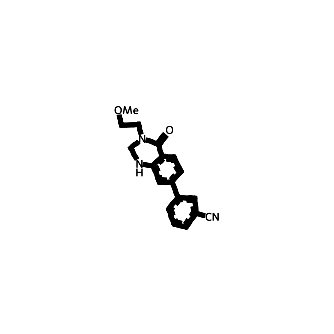 COCCN1CNc2cc(-c3cccc(C#N)c3)ccc2C1=O